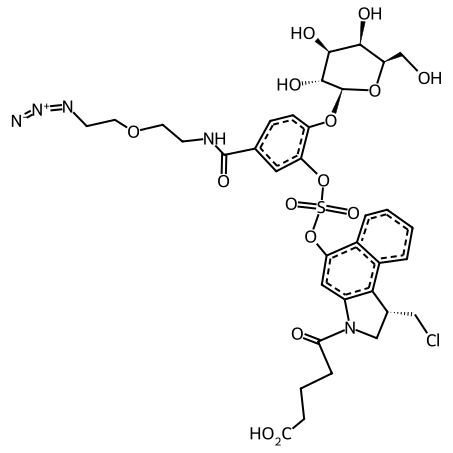 [N-]=[N+]=NCCOCCNC(=O)c1ccc(O[C@@H]2O[C@H](CO)[C@H](O)[C@H](O)[C@H]2O)c(OS(=O)(=O)Oc2cc3c(c4ccccc24)[C@H](CCl)CN3C(=O)CCCC(=O)O)c1